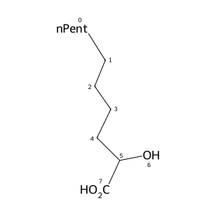 CCCCCCCCCC(O)C(=O)O